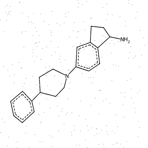 NC1CCc2cc(N3CCC(c4ccccc4)CC3)ccc21